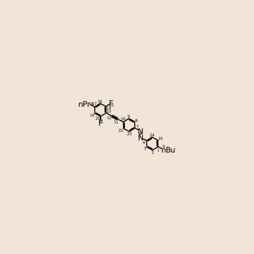 CCCCc1ccc(N=Nc2ccc(C#Cc3c(F)cc(CCC)cc3F)cc2)cc1